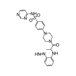 CC(Nc1ccccc1N=N)C(=O)N1CCN(c2ccc(S(=O)(=O)Nc3ccncn3)cc2)CC1